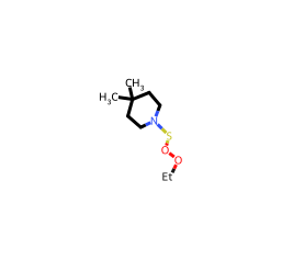 CCOOSN1CCC(C)(C)CC1